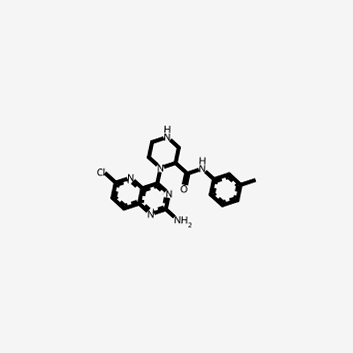 Cc1cccc(NC(=O)C2CNCCN2c2nc(N)nc3ccc(Cl)nc23)c1